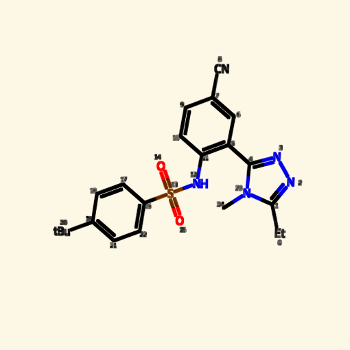 CCc1nnc(-c2cc(C#N)ccc2NS(=O)(=O)c2ccc(C(C)(C)C)cc2)n1C